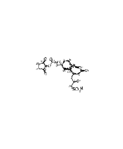 O=C(Cc1cc(=O)oc2ccc(CNC(=O)ON3C(=O)CCC3=O)cc12)CS(=O)(=O)O